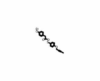 CC#CCOc1ccc(SOC(=O)Cc2ccc(OCC)cc2)cc1